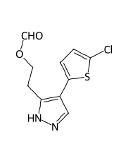 O=COCCc1[nH]ncc1-c1ccc(Cl)s1